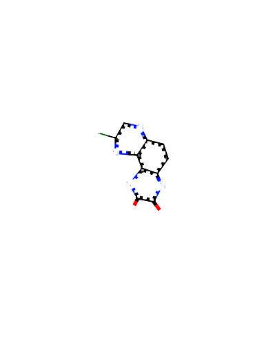 O=c1[nH]c2ccc3ncc(Cl)nc3c2[nH]c1=O